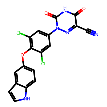 N#Cc1nn(-c2cc(Cl)c(Oc3ccc4[nH]ccc4c3)c(Cl)c2)c(=O)[nH]c1=O